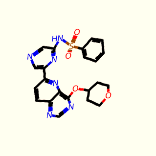 O=S(=O)(Nc1cncc(-c2ccc3ncnc(OC4CCOCC4)c3n2)n1)c1ccccc1